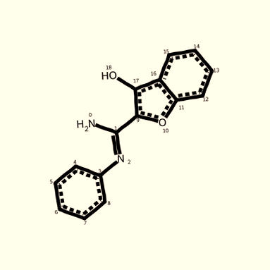 N/C(=N\c1ccccc1)c1oc2ccccc2c1O